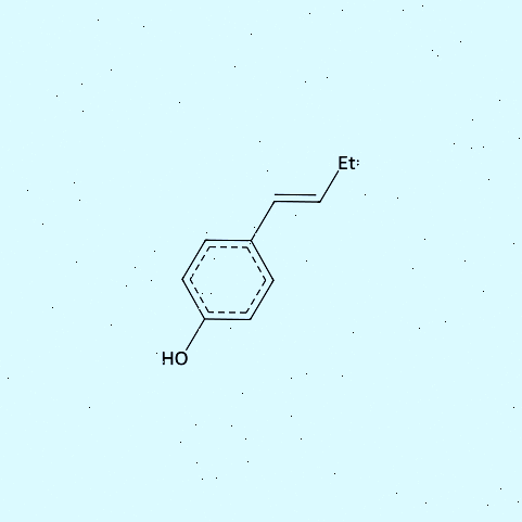 C[C]C=Cc1ccc(O)cc1